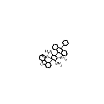 Bc1c(B)c(-c2cccc3oc4ccccc4c23)c(B)c(B)c1-c1c2ccccc2c(-c2ccccc2)c2ccccc12